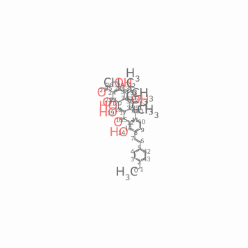 CCc1ccc(/C=C/c2ccc3c(c2O)C(=O)C2=C(O)[C@@]4(O)C(=O)C(C(C)=O)=C(O)C(C(C)C)[C@@]4(C)[C@H](O)[C@@]2(C)[C@@H]3C)cc1